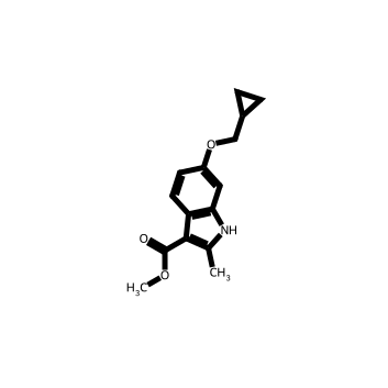 COC(=O)c1c(C)[nH]c2cc(OCC3CC3)ccc12